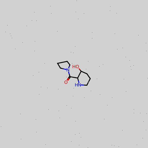 O=C(C1NCCCC1O)N1CCCC1